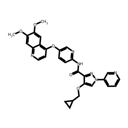 COc1cc2nccc(Oc3ccc(NC(=O)c4nn(-c5cccnc5)cc4OCC4CC4)nc3)c2cc1OC